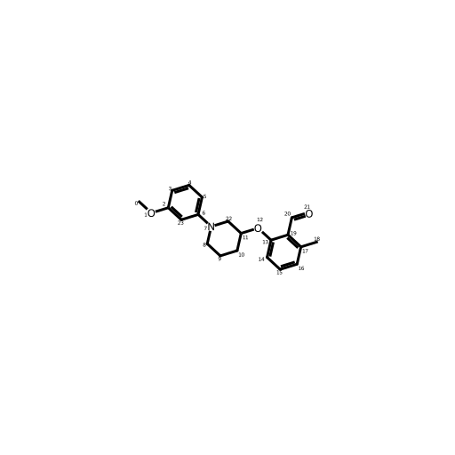 COc1cccc(N2CCCC(Oc3cccc(C)c3C=O)C2)c1